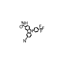 CNC(=O)c1ccc2c(c1)c1cc(C#N)ccc1n2-c1ccc(C(F)(F)F)cc1